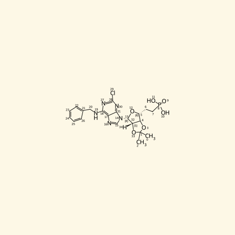 CC1(C)OC2[C@@H](CCP(=O)(O)O)O[C@@H](n3cnc4c(NCc5ccccc5)nc(Cl)nc43)[C@H]2O1